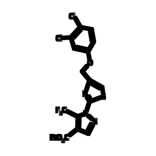 CCOC(=O)c1cnn(-c2nc(COc3ccc(Cl)c(Cl)c3)cs2)c1C(F)(F)F